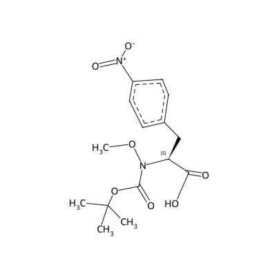 CON(C(=O)OC(C)(C)C)[C@@H](Cc1ccc([N+](=O)[O-])cc1)C(=O)O